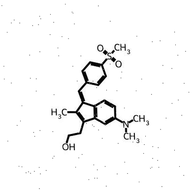 CC1=C(CCO)c2cc(N(C)C)ccc2/C1=C\c1ccc(S(C)(=O)=O)cc1